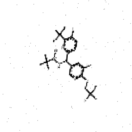 CC(C)(C)[S@@+]([O-])N[C@H](c1cnc(OCC(F)(F)F)c(F)c1)c1ccc(F)c(C(F)(F)F)n1